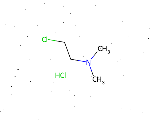 CN(C)CCCl.Cl